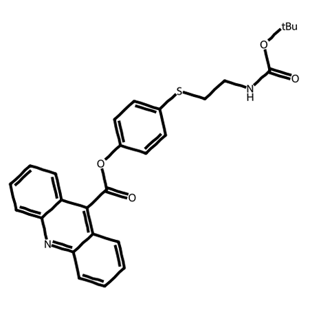 CC(C)(C)OC(=O)NCCSc1ccc(OC(=O)c2c3ccccc3nc3ccccc23)cc1